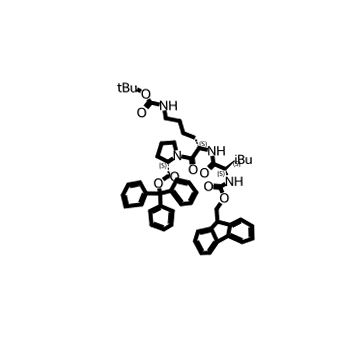 CC[C@H](C)[C@H](NC(=O)OCC1c2ccccc2-c2ccccc21)C(=O)N[C@@H](CCCCNC(=O)OC(C)(C)C)C(=O)N1CCC[C@H]1C(=O)OC(c1ccccc1)(c1ccccc1)c1ccccc1